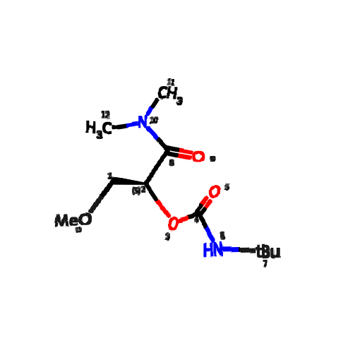 COC[C@H](OC(=O)NC(C)(C)C)C(=O)N(C)C